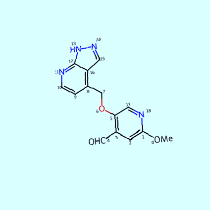 COc1cc(C=O)c(OCc2ccnc3[nH]ncc23)cn1